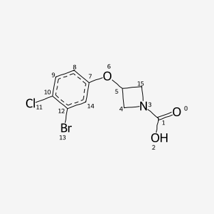 O=C(O)N1CC(Oc2ccc(Cl)c(Br)c2)C1